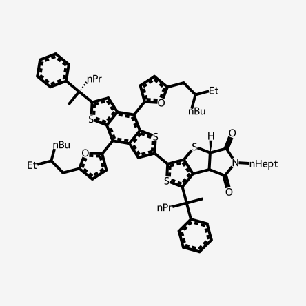 CCCCCCCN1C(=O)C2c3c(C(C)(CCC)c4ccccc4)sc(-c4cc5c(-c6ccc(CC(CC)CCCC)o6)c6sc([C@](C)(CCC)c7ccccc7)cc6c(-c6ccc(CC(CC)CCCC)o6)c5s4)c3S[C@@H]2C1=O